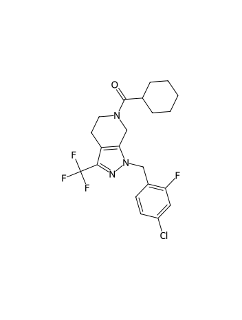 O=C(C1CCCCC1)N1CCc2c(C(F)(F)F)nn(Cc3ccc(Cl)cc3F)c2C1